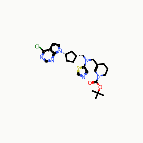 CC(C)(C)OC(=O)N1C=C(CN(C[C@@H]2CC[C@H](n3ccc4c(Cl)ncnc43)C2)c2cncs2)CCC1